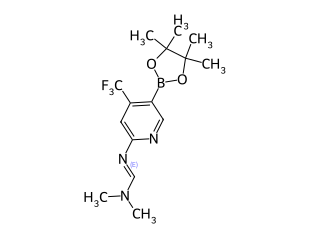 CN(C)/C=N/c1cc(C(F)(F)F)c(B2OC(C)(C)C(C)(C)O2)cn1